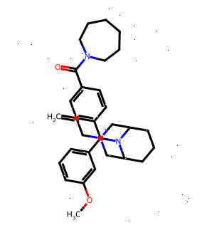 C=CCN1CC2CCCC(C1)N2C(c1ccc(C(=O)N2CCCCCC2)cc1)c1cccc(OC)c1